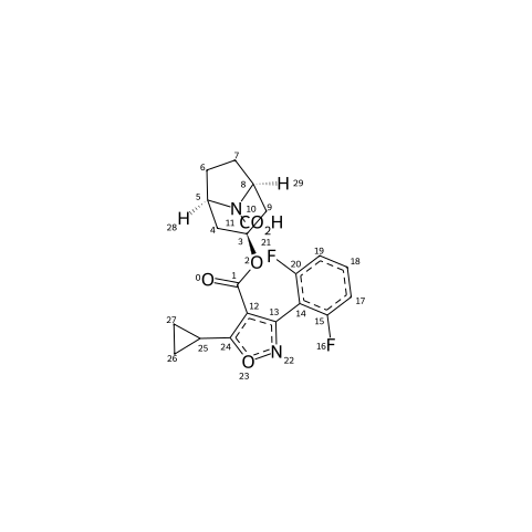 O=C(O[C@H]1C[C@H]2CC[C@@H](C1)N2C(=O)O)c1c(-c2c(F)cccc2F)noc1C1CC1